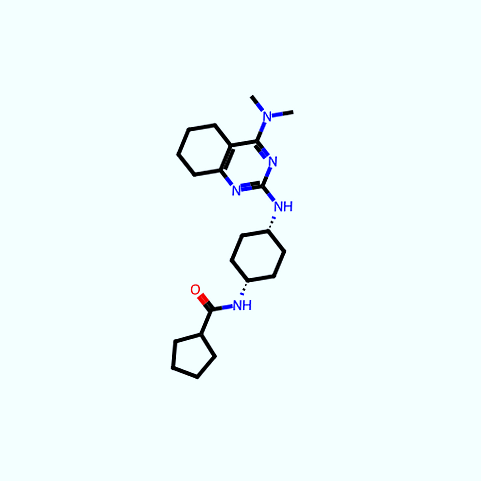 CN(C)c1nc(N[C@H]2CC[C@@H](NC(=O)C3CCCC3)CC2)nc2c1CCCC2